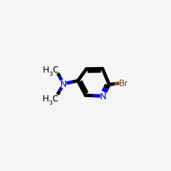 CN(C)c1ccc(Br)nc1